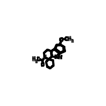 COc1ccc2[nH]c3c(c2c1)CCN(C(C)=O)C31CCCCC1